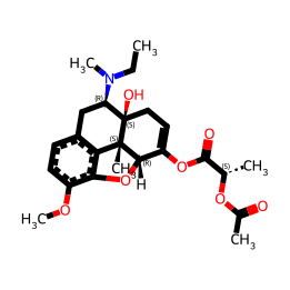 CCN(C)[C@@H]1Cc2ccc(OC)c3c2[C@@]2(C)[C@@H](O3)C(OC(=O)[C@H](C)OC(C)=O)=CC[C@@]12O